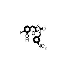 O=C1SC(=Cc2ccc(F)c(O)c2)C(=O)N1Cc1cccc([N+](=O)[O-])c1